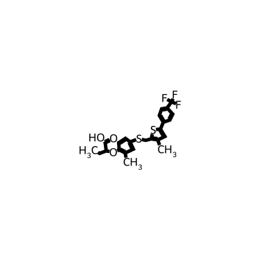 CCC(Oc1ccc(SCc2sc(-c3ccc(C(F)(F)F)cc3)cc2C)cc1C)C(=O)O